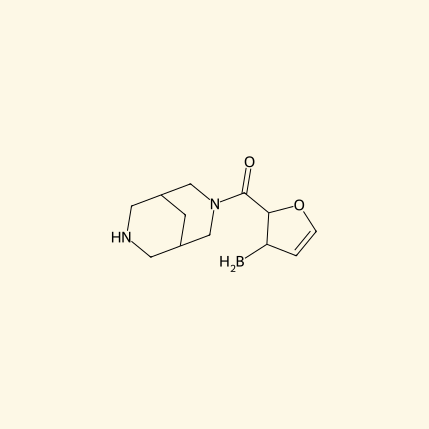 BC1C=COC1C(=O)N1CC2CNCC(C2)C1